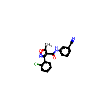 Cc1onc(-c2ccccc2Cl)c1C(=O)Nc1cccc(C#N)c1